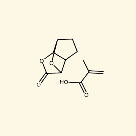 C=C(C)C(=O)O.O=C1OC2C3CCC2C1O3